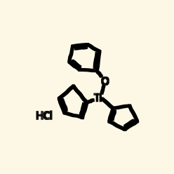 C1=CC[C]([Ti]([O]c2ccccc2)[C]2=CC=CC2)=C1.Cl